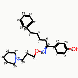 Oc1ccc(C(CCCCc2ccccc2)=NOCCCN2CCCCC2)cc1